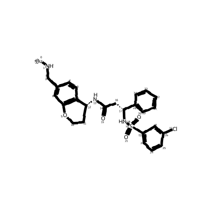 CC(C)(C)NCc1ccc2c(c1)OCC[C@H]2NC(=O)C[C@@H](NS(=O)(=O)c1cccc(Cl)c1)c1ccccc1